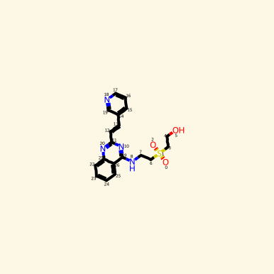 O=S(=O)(CCO)CCNc1nc(/C=C/c2cccnc2)nc2ccccc12